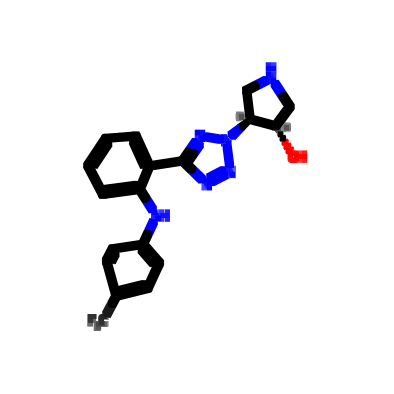 O[C@H]1CNC[C@@H]1n1nnc(-c2ccccc2Nc2ccc(C(F)(F)F)cc2)n1